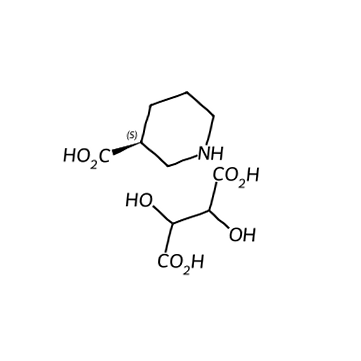 O=C(O)C(O)C(O)C(=O)O.O=C(O)[C@H]1CCCNC1